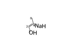 CC=CO.[NaH]